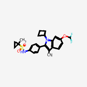 CC1(S(=O)(=O)Nc2ccc(-c3c(C#N)c4ccc(OC(F)F)cc4n3C3CCC3)cc2)CC1